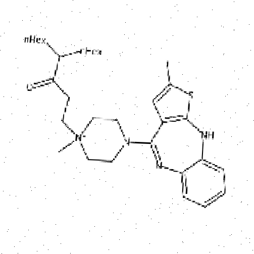 CCCCCCC(CCCCCC)C(=O)CC[N+]1(C)CCN(C2=Nc3ccccc3Nc3sc(C)cc32)CC1